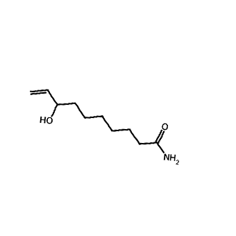 C=CC(O)CCCCCCC(N)=O